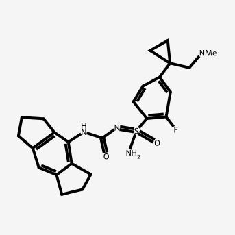 CNCC1(c2ccc(S(N)(=O)=NC(=O)Nc3c4c(cc5c3CCC5)CCC4)c(F)c2)CC1